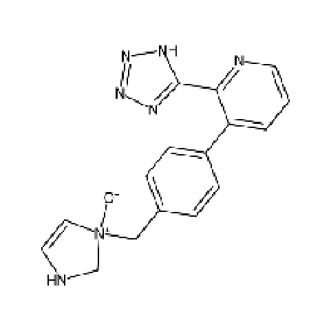 [O-][N+]1(Cc2ccc(-c3cccnc3-c3nnn[nH]3)cc2)C=CNC1